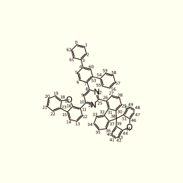 c1ccc(-c2ccc(-c3cc(-c4cccc5c4oc4ccccc45)nc(-c4cccc5c4-c4ccccc4C54c5ccccc5Oc5ccccc54)n3)c(-c3ccccc3)c2)cc1